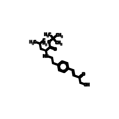 CC(C)C[C@H](NCCc1ccc(/C=C/C(=O)CO)cc1)C(=O)OC(C)(C)C